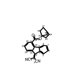 N#CC(C#N)=C1c2ccccc2-c2c(C(=O)OC34CCC(CC3)C4)cccc21